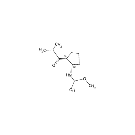 COC(O)N[C@H]1CCC[C@@H]1C(=O)C(C)C